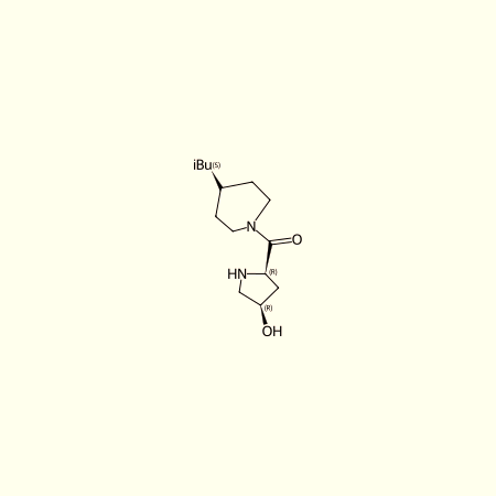 CC[C@H](C)C1CCN(C(=O)[C@H]2C[C@@H](O)CN2)CC1